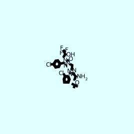 CC(C)(C)OC[C@H](N)c1nc(Cn2nc(-c3ccc(Cl)cc3)n(C[C@H](O)C(F)(F)F)c2=O)nn1-c1ccccc1Cl